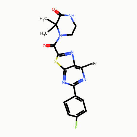 CC(C)c1nc(-c2ccc(F)cc2)nc2sc(C(=O)N3CCNC(=O)C3(C)C)nc12